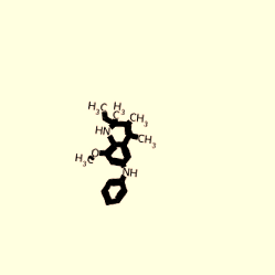 CCC1(C)Nc2c(OC)cc(Nc3ccccc3)cc2C(C)=C1C